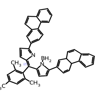 Bn1c(C2=CC3C=Cc4ccccc4C3C=C2)ccc1/C(=C1/C=CC(c2ccc3c(ccc4ccccc43)c2)=N1)c1c(C)cc(C)cc1C